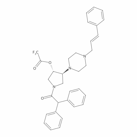 O=C(C(c1ccccc1)c1ccccc1)N1C[C@H](OC(=O)C(F)(F)F)[C@@H](N2CCN(C/C=C/c3ccccc3)CC2)C1